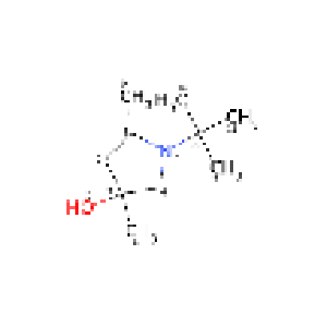 C[C@H]1CC(C)(O)CN1C(C)(C)C